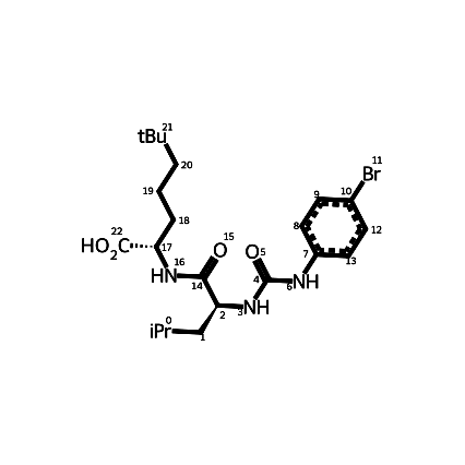 CC(C)C[C@H](NC(=O)Nc1ccc(Br)cc1)C(=O)N[C@@H](CCCC(C)(C)C)C(=O)O